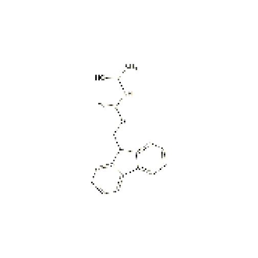 C[C](O)NC(=O)OCC1c2ccccc2-c2ccccc21